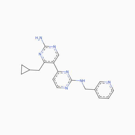 Nc1ncc(-c2ccnc(NCc3cccnc3)n2)c(CC2CC2)n1